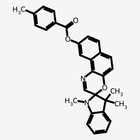 Cc1ccc(C(=O)Oc2ccc3ccc4c(c3c2)N=CC2(O4)N(C)c3ccccc3C2(C)C)cc1